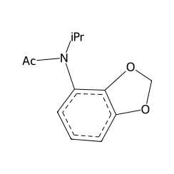 CC(=O)N(c1cccc2c1OCO2)C(C)C